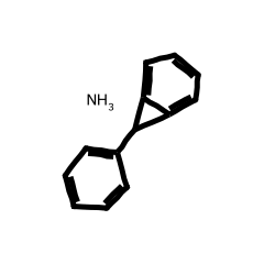 N.c1ccc(C2c3ccccc32)cc1